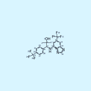 CC(C)(O)C(Nc1cc(C(F)(F)F)cc2ncnn12)c1ccc(C(F)(F)F)cc1